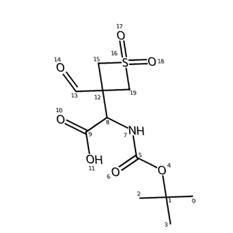 CC(C)(C)OC(=O)NC(C(=O)O)C1(C=O)CS(=O)(=O)C1